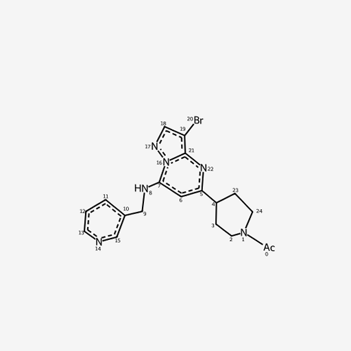 CC(=O)N1CCC(c2cc(NCc3cccnc3)n3ncc(Br)c3n2)CC1